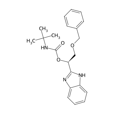 CC(C)(C)NC(=O)O[C@@H](COCc1ccccc1)c1nc2ccccc2[nH]1